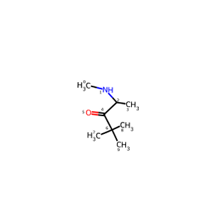 CNC(C)C(=O)C(C)(C)C